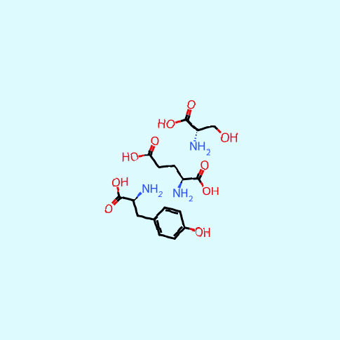 N[C@@H](CCC(=O)O)C(=O)O.N[C@@H](CO)C(=O)O.N[C@@H](Cc1ccc(O)cc1)C(=O)O